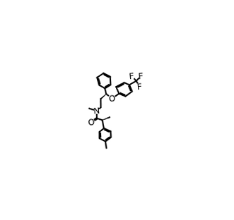 Cc1ccc([C@H](C)C(=O)N(C)CC[C@H](Oc2ccc(C(F)(F)F)cc2)c2ccccc2)cc1